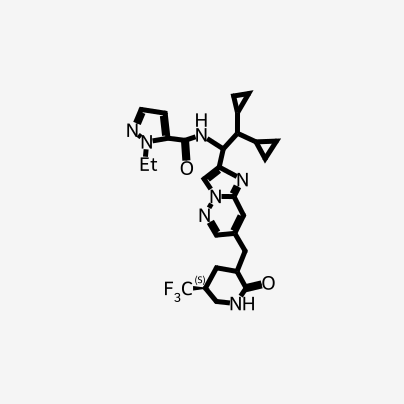 CCn1nccc1C(=O)NC(c1cn2ncc(CC3C[C@H](C(F)(F)F)CNC3=O)cc2n1)C(C1CC1)C1CC1